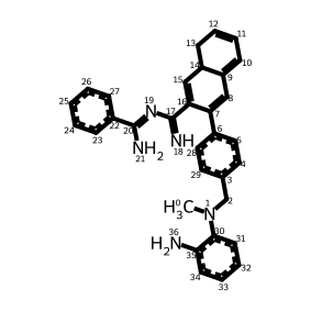 CN(Cc1ccc(C2=CC3=CC=CCC3C=C2C(=N)/N=C(\N)c2ccccc2)cc1)c1ccccc1N